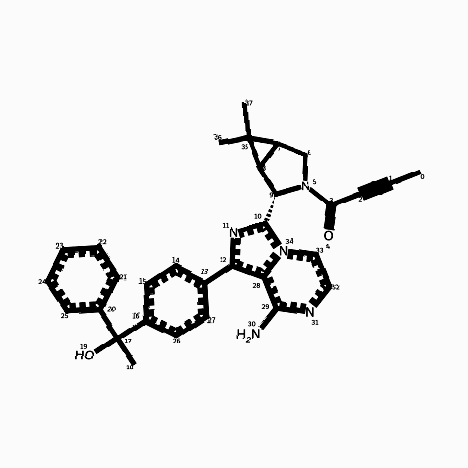 CC#CC(=O)N1CC2C([C@H]1c1nc(-c3ccc(C(C)(O)c4ccccc4)cc3)c3c(N)nccn13)C2(C)C